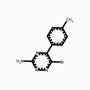 Cc1ccc(-c2nc(N)nnc2Br)cc1